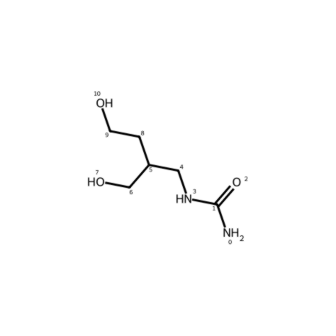 NC(=O)NCC(CO)CCO